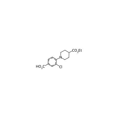 CCOC(=O)C1CCN(c2ccc(C(=O)O)cc2Cl)CC1